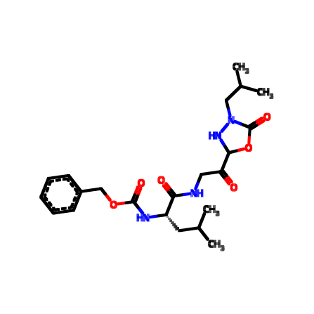 CC(C)C[C@H](NC(=O)OCc1ccccc1)C(=O)NCC(=O)C1NN(CC(C)C)C(=O)O1